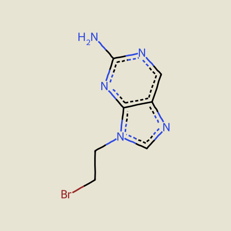 Nc1ncc2ncn(CCBr)c2n1